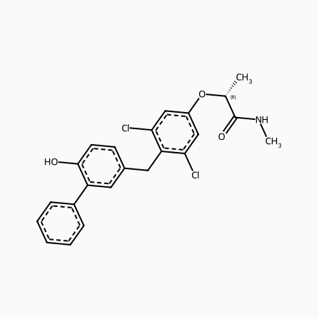 CNC(=O)[C@@H](C)Oc1cc(Cl)c(Cc2ccc(O)c(-c3ccccc3)c2)c(Cl)c1